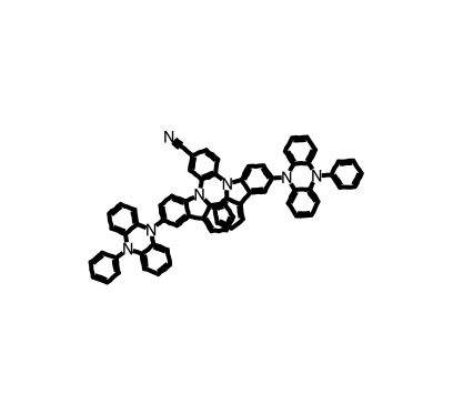 N#Cc1ccc(-n2c3ccccc3c3cc(N4c5ccccc5N(c5ccccc5)c5ccccc54)ccc32)c(-n2c3ccccc3c3cc(N4c5ccccc5N(c5ccccc5)c5ccccc54)ccc32)c1